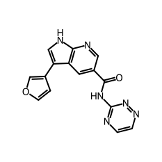 O=C(Nc1nccnn1)c1cnc2[nH]cc(-c3ccoc3)c2c1